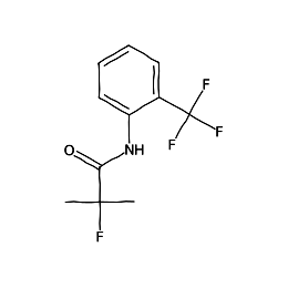 CC(C)(F)C(=O)Nc1ccccc1C(F)(F)F